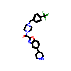 O=C(c1nc2cc(C3CCNCC3)ccc2o1)N1CCN(Cc2ccc(C(F)(F)F)cc2)CC1